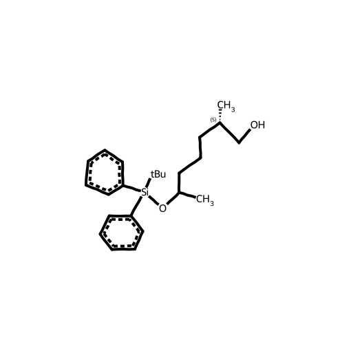 CC(CCC[C@H](C)CO)O[Si](c1ccccc1)(c1ccccc1)C(C)(C)C